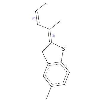 C/C=C\C(C)=C1/Cc2cc(C)ccc2S1